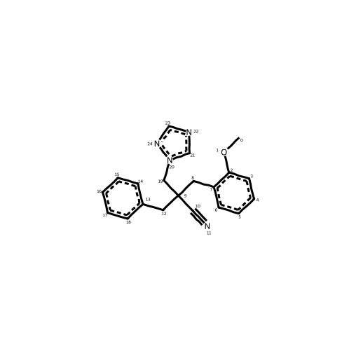 COc1ccccc1CC(C#N)(Cc1ccccc1)Cn1cncn1